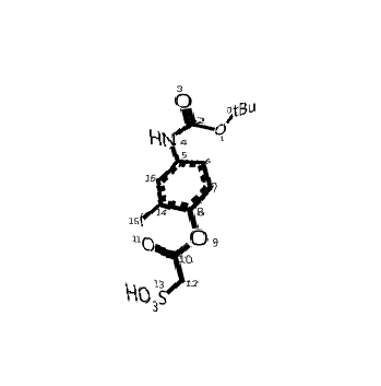 CC(C)(C)OC(=O)Nc1ccc(OC(=O)CS(=O)(=O)O)c(I)c1